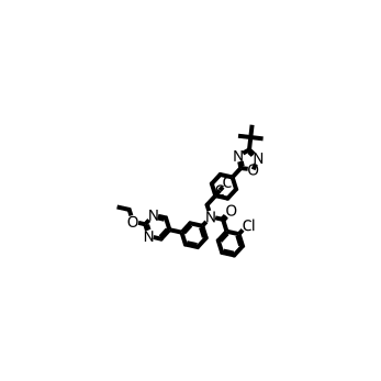 CCOc1ncc(-c2cccc(N(CC34CCC(c5nc(C(C)(C)C)no5)(CC3)CC4)C(=O)c3ccccc3Cl)c2)cn1